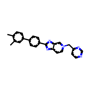 Cc1ccc(-c2ccc(-c3nc4ccn(Cc5ccncn5)cc-4n3)cc2)cc1C